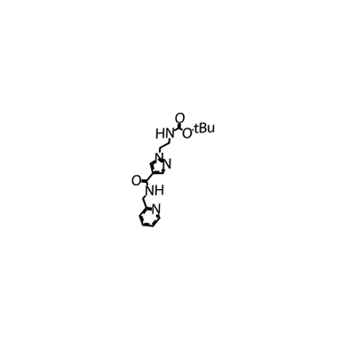 CC(C)(C)OC(=O)NCCn1cc(C(=O)NCc2ccccn2)cn1